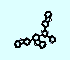 c1cncc(-c2nc(-c3ccc4c(c3)oc3ccccc34)nc(-c3ccc(-c4ccc5c(c4)sc4ccccc45)c4oc5ccccc5c34)n2)c1